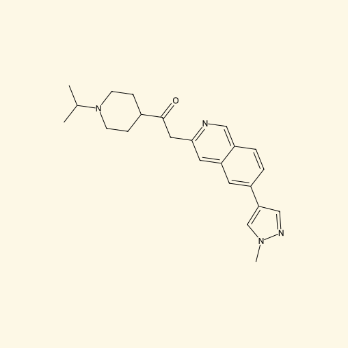 CC(C)N1CCC(C(=O)Cc2cc3cc(-c4cnn(C)c4)ccc3cn2)CC1